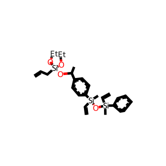 C=CC[Si](OCC)(OCC)OC(C)c1ccc([Si](C)(C=C)O[Si](C)(C=C)c2ccccc2)cc1